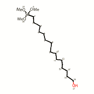 CO[Si](CCCCCCCCCCCCCCCO)(OC)OC